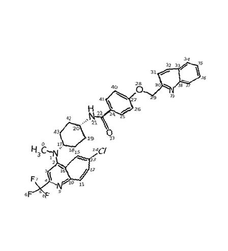 CN(c1cc(C(F)(F)F)nc2ccc(Cl)cc12)[C@H]1CC[C@@H](NC(=O)c2ccc(OCc3ccc4ccccc4n3)cc2)CC1